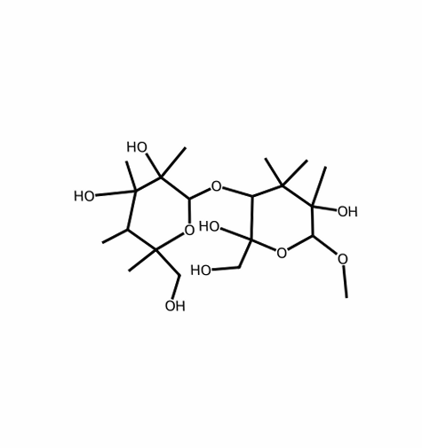 COC1OC(O)(CO)C(OC2OC(C)(CO)C(C)C(C)(O)C2(C)O)C(C)(C)C1(C)O